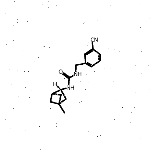 CC12CC(C1)[C@H](NC(=O)NCc1cccc(C#N)c1)C2